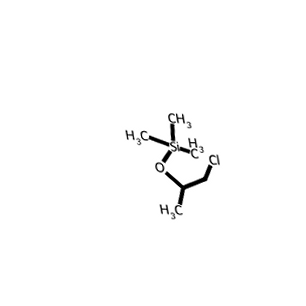 CC(CCl)O[Si](C)(C)C